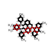 Cc1ccc(P(Cc2cccc(CP(c3ccc(C)cc3)c3ccc(C)cc3)c2-c2c(CP(c3ccc(C)cc3)c3ccc(C)cc3)cccc2CP(c2ccc(C)cc2)c2ccc(C)cc2)c2ccc(C)cc2)cc1